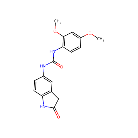 COc1ccc(NC(=O)Nc2ccc3c(c2)CC(=O)N3)c(OC)c1